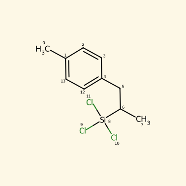 Cc1ccc(CC(C)[Si](Cl)(Cl)Cl)cc1